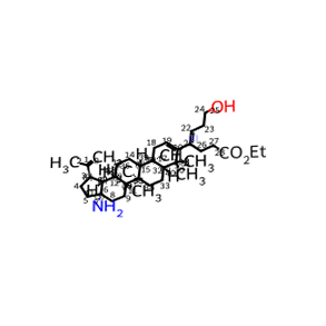 C=C(C)[C@@H]1CC[C@]2(N)CC[C@]3(C)[C@H](CC[C@@H]4[C@@]5(C)CC=C(/C(=C/CCO)CCC(=O)OCC)C(C)(C)[C@@H]5CC[C@]43C)[C@@H]12